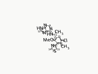 COc1c(C(C)Nc2ncnc3[nH]cnc23)cc(Cl)c(C)c1-c1cscn1